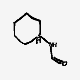 O=CN[SH]1CCCCC1